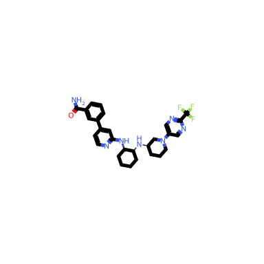 NC(=O)c1cccc(-c2ccnc(N[C@@H]3CCCC[C@H]3N[C@H]3CCCN(c4cnc(C(F)(F)F)nc4)C3)c2)c1